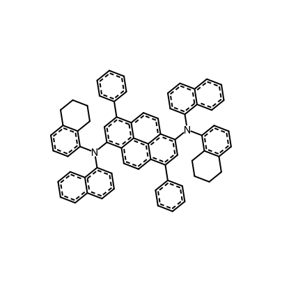 c1ccc(-c2cc(N(c3cccc4c3CCCC4)c3cccc4ccccc34)c3ccc4c(-c5ccccc5)cc(N(c5cccc6c5CCCC6)c5cccc6ccccc56)c5ccc2c3c45)cc1